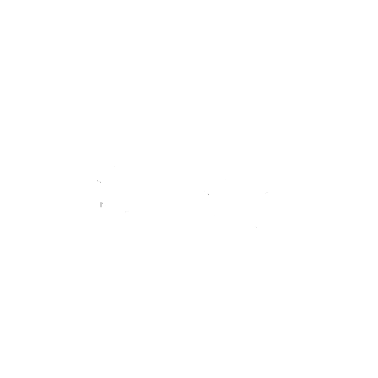 O=c1[nH][nH]c(=O)c2cc(N3CC4C5C=CC(C5)C4C3)ccc12